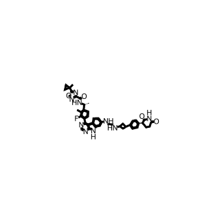 Cc1c([C@@H](C)NC(=O)c2noc(C3(C)CC3)n2)ccc(-c2ncnc3[nH]c4cc(NCCNC5CC(c6ccc([C@@H]7CCC(=O)NC7=O)cc6)C5)ccc4c23)c1F